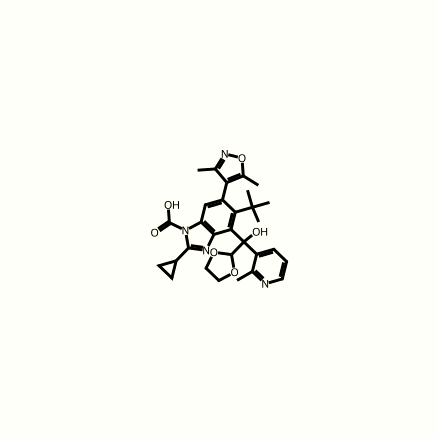 Cc1ncccc1C(O)(c1c(C(C)(C)C)c(-c2c(C)noc2C)cc2c1nc(C1CC1)n2C(=O)O)C1OCCO1